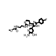 COCC(=O)NCCNC1=NC=CC(c2nc(-c3ccc(F)cc3)[nH]c2-c2cnc(N)c(O)c2)N1